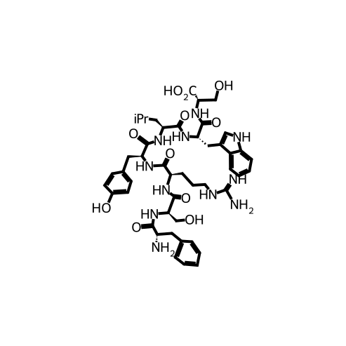 CC(C)C[C@H](NC(=O)[C@H](Cc1ccc(O)cc1)NC(=O)[C@@H](CCCNC(=N)N)NC(=O)[C@@H](CO)NC(=O)[C@@H](N)Cc1ccccc1)C(=O)N[C@@H](Cc1c[nH]c2ccccc12)C(=O)N[C@@H](CO)C(=O)O